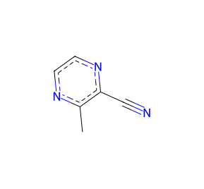 Cc1nccnc1C#N